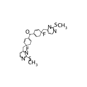 CSc1nccc(CC2(F)C=CC(C(=O)C3=CCC(F)(Cc4ccnc(SC)n4)C=C3)=CC2)n1